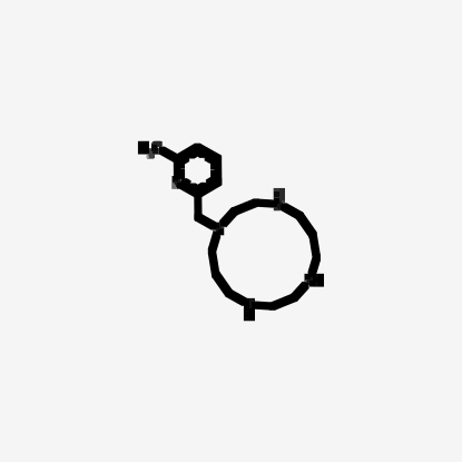 Cc1cccc(CN2CCCNCCNCCCNCC2)n1